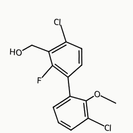 COc1c(Cl)cccc1-c1ccc(Cl)c(CO)c1F